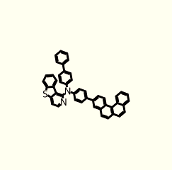 c1ccc(-c2ccc(N(c3ccc(-c4ccc5c(ccc6ccc7ccccc7c65)c4)cc3)c3nccc4sc5ccccc5c34)cc2)cc1